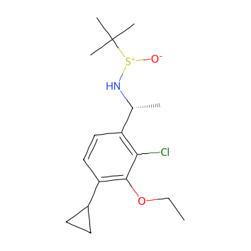 CCOc1c(C2CC2)ccc([C@@H](C)N[S+]([O-])C(C)(C)C)c1Cl